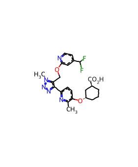 Cc1nc(-c2nnn(C)c2COc2cc(C(F)F)ccn2)ccc1O[C@H]1CCC[C@H](C(=O)O)C1